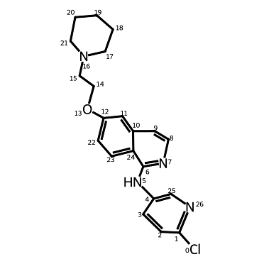 Clc1ccc(Nc2nccc3cc(OCCN4CCCCC4)ccc23)cn1